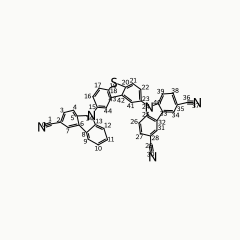 N#Cc1ccc2c(c1)c1ccccc1n2-c1ccc2sc3ccc(-n4c5ccc(C#N)cc5c5cc(C#N)ccc54)cc3c2c1